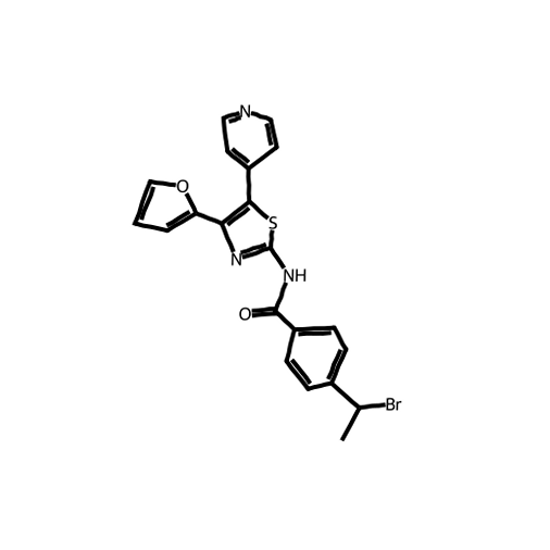 CC(Br)c1ccc(C(=O)Nc2nc(-c3ccco3)c(-c3ccncc3)s2)cc1